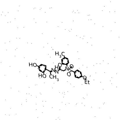 CCOc1ccc(S(=O)(=O)N(CC(=O)N/N=C(\C)c2ccc(O)cc2O)c2ccc(C)cc2)cc1